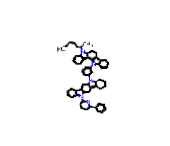 C#C/C=C\CC(C)n1c2ccccc2c2c3c(ccc21)c1ccccc1n3-c1cccc(-n2c3c(c4cc5c(cc42)c2ccccc2n5-c2cccc(-c4ccccc4)n2)CCC=C3)c1